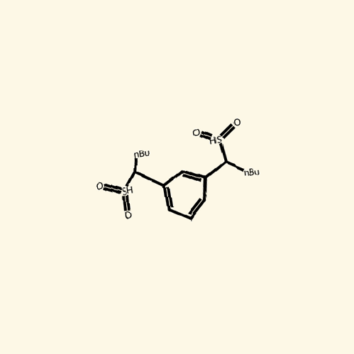 CCCCC(c1c[c]cc(C(CCCC)[SH](=O)=O)c1)[SH](=O)=O